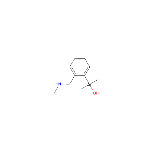 CNCc1ccccc1[Si](C)(C)O